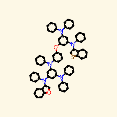 c1ccc(N(c2ccccc2)c2cc(N(c3ccccc3)c3cccc(Oc4cc(N(c5ccccc5)c5ccccc5)cc(N(c5ccccc5)c5csc6ccccc56)c4)c3)cc(N(c3ccccc3)c3coc4ccccc34)c2)cc1